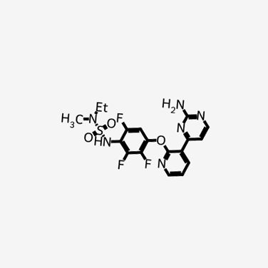 CCN(C)S(=O)(=O)Nc1c(F)cc(Oc2ncccc2-c2ccnc(N)n2)c(F)c1F